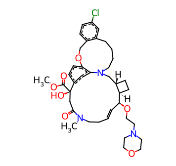 COC(=O)[C@@]1(O)CC(=O)N(C)CC/C=C/[C@H](OCCN2CCOCC2)[C@@H]2CC[C@H]2CN2CCCCc3cc(Cl)ccc3COc3ccc1cc32